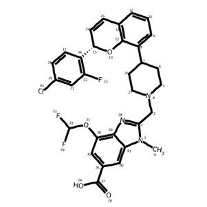 Cn1c(CN2CCC(c3cccc4c3O[C@H](c3ccc(Cl)cc3F)C=C4)CC2)nc2c(OC(F)F)cc(C(=O)O)cc21